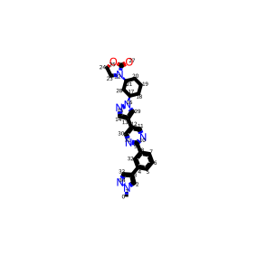 Cn1cc(-c2cccc(-c3ncc(-c4cnn([C@@H]5CCC[C@H](N6CCOC6=O)C5)c4)cn3)c2)cn1